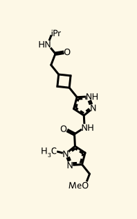 COCc1cc(C(=O)Nc2cc(C3CC(CC(=O)NC(C)C)C3)[nH]n2)n(C)n1